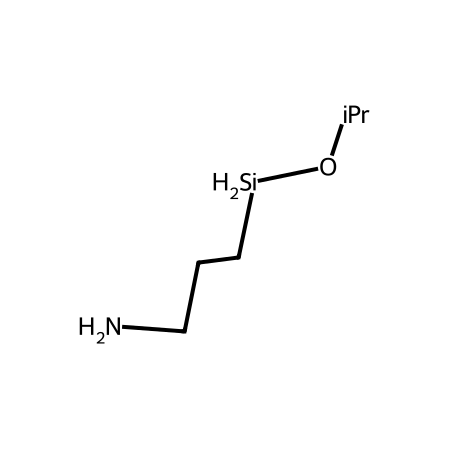 CC(C)O[SiH2]CCCN